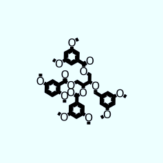 COc1cc(COC(COC(=O)c2cc(OC)cc(OC)c2)C(COC(=O)c2cc(OC)ccc2OC)OC(=O)c2cc(OC)cc(OC)c2)cc(OC)c1